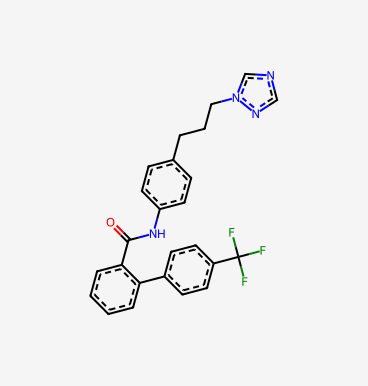 O=C(Nc1ccc(CCCn2cncn2)cc1)c1ccccc1-c1ccc(C(F)(F)F)cc1